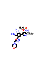 COc1ncc(-c2cc(N)c(C=N)c(-c3nnc(CN4CCCOCC4)o3)c2)cc1NS(C)(=O)=O